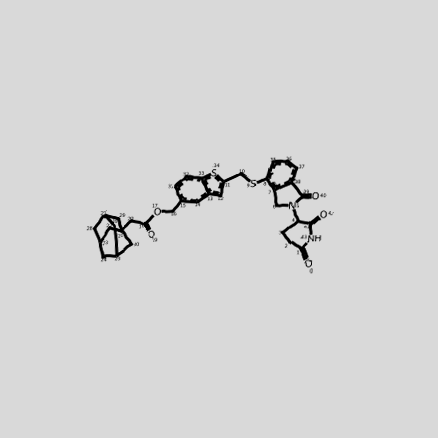 O=C1CCC(N2Cc3c(SCc4cc5cc(COC(=O)CC67CC8CC(CC(C8)C6)C7)ccc5s4)cccc3C2=O)C(=O)N1